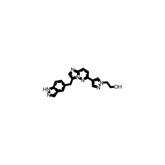 OCCn1cc(-c2ccc3ncc(Cc4ccc5[nH]ncc5c4)n3n2)cn1